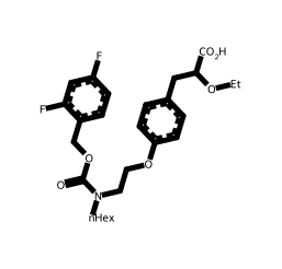 CCCCCCN(CCOc1ccc(CC(OCC)C(=O)O)cc1)C(=O)OCc1ccc(F)cc1F